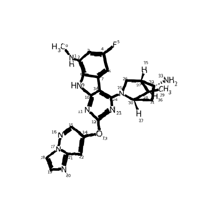 CNc1cc(F)cc2c1[nH]c1nc(Oc3cnn4ccnc4c3)nc(N3C[C@H]4[C@@H](C)[C@@H]3C[C@H]4N)c12